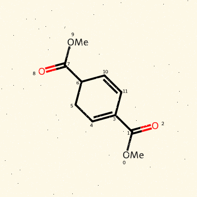 COC(=O)C1=CCC(C(=O)OC)C=C1